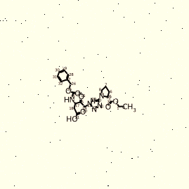 CCOC(=O)[C@H]1CCCN1c1nnn(CC(=O)C(CC(=O)O)NC(=O)OCc2ccccc2)n1